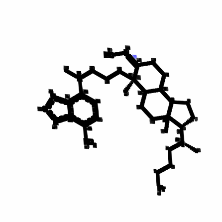 CC(C)CCC[C@@H](C)[C@H]1CCC2C3CC/C(=N/O)[C@](C)(CCCN(C)c4ccc([N+](=O)[O-])c5nonc45)C3CCC21C